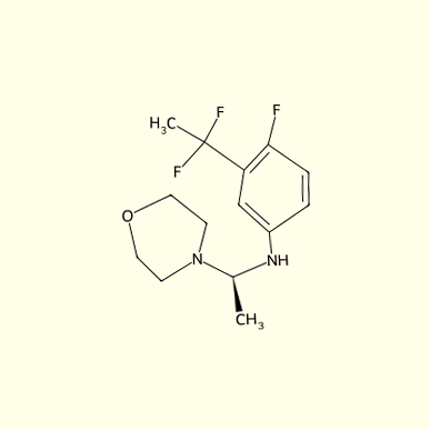 C[C@H](Nc1ccc(F)c(C(C)(F)F)c1)N1CCOCC1